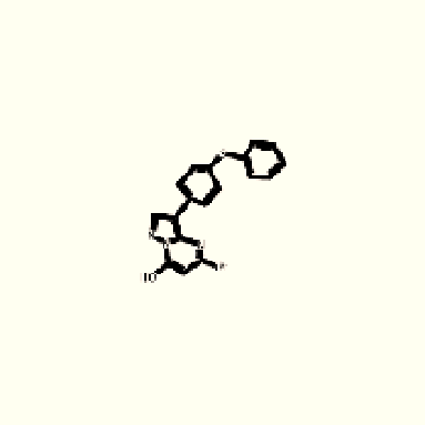 CC(C)c1cc(O)n2ncc(-c3ccc(Sc4ccccc4)cc3)c2n1